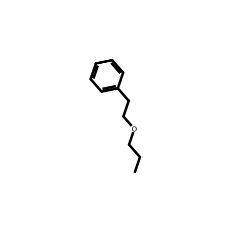 C[CH]COCCc1ccccc1